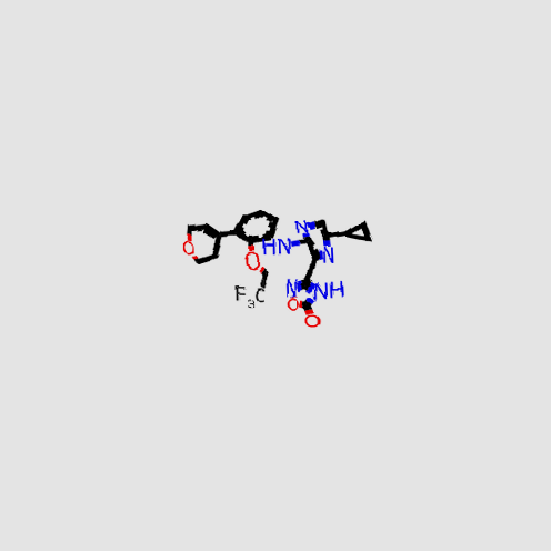 O=c1[nH]c(-c2nc(C3CC3)cnc2Nc2cccc(C3=CCOCC3)c2OCC(F)(F)F)no1